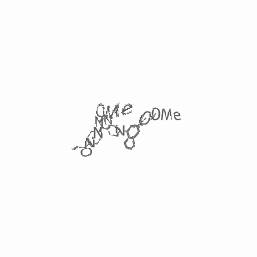 C=CC(=O)N1CCN(c2nc(OC)nc3c2CCN(c2cc(OCOC)cc4ccccc24)C3)CC1